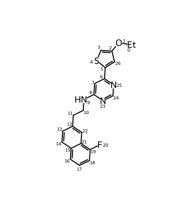 CCOc1csc(-c2cc(NCCc3ccc4cccc(F)c4c3)ncn2)c1